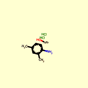 CCCO.Cc1ccc(N)c(C)c1.Cl.Cl